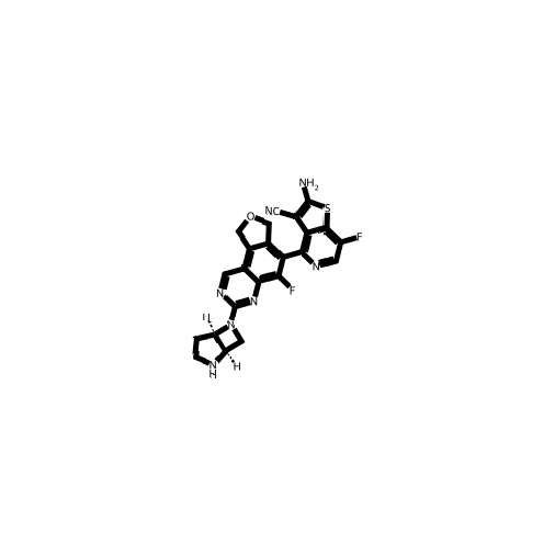 N#Cc1c(N)sc2c(F)cnc(-c3c4c(c5cnc(N6C[C@H]7NCC[C@H]76)nc5c3F)COC4)c12